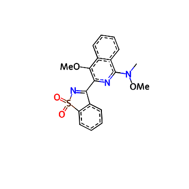 COc1c(C2=NS(=O)(=O)c3ccccc32)nc(N(C)OC)c2ccccc12